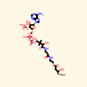 CCCCCCCC(O)CC(=O)SCCNC(=O)CCNC(=O)C(O)C(C)(C)COP(=O)(O)OP(=O)(O)OC[C@H]1O[C@H](n2cnc3c(N)ncnc32)[C@H](O)[C@@H]1OP(=O)(O)O